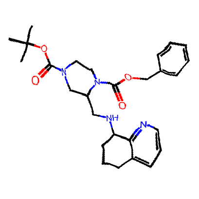 CC(C)(C)OC(=O)N1CCN(C(=O)OCc2ccccc2)C(CNC2CCCc3cccnc32)C1